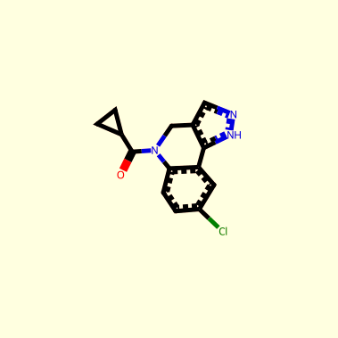 O=C(C1CC1)N1Cc2cn[nH]c2-c2cc(Cl)ccc21